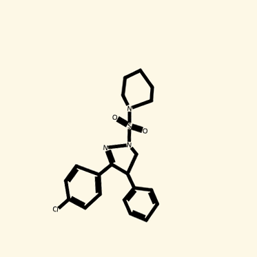 O=S(=O)(N1CCCCC1)N1CC(c2ccccc2)C(c2ccc(Cl)cc2)=N1